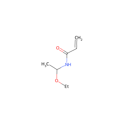 C=CC(=O)NC(C)OCC